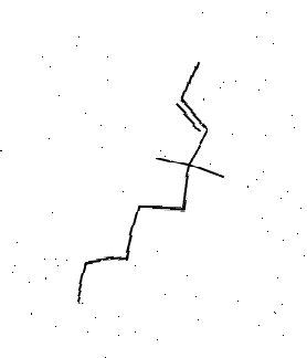 [CH2]CCCCC(C)(C)C=CC